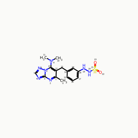 Cc1nc2ncnn2c(N(C)C)c1Cc1cccc(NN[SH](=O)=O)c1